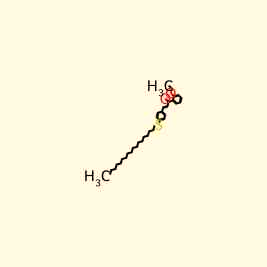 CCCCCCCCCCCCCCCCCCCSc1ccc(C=CC(=O)c2ccccc2OCC)cc1